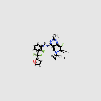 C=C1C(F)=c2nc(C)nc(NCc3cccc(C(F)(F)C4CCCO4)c3F)c2=CN1C1(C)CC1